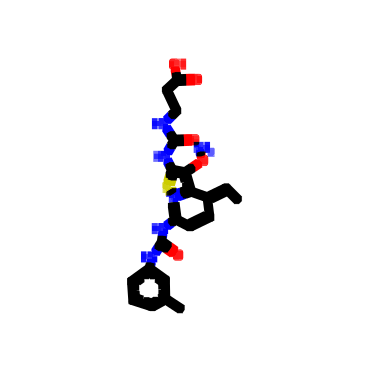 C=C(/C=C\C(=C/C)c1nsc(NC(=O)NCCC(=O)O)c1ON)NC(=O)Nc1cccc(C)c1